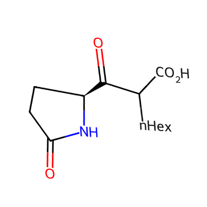 CCCCCCC(C(=O)O)C(=O)[C@@H]1CCC(=O)N1